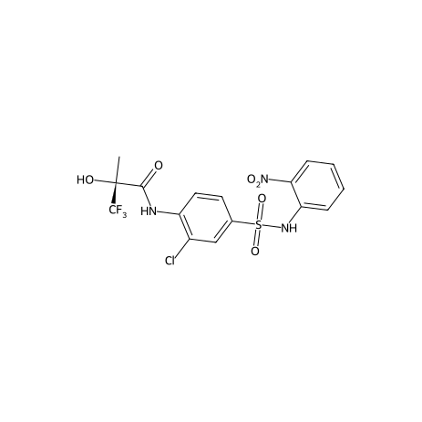 C[C@@](O)(C(=O)Nc1ccc(S(=O)(=O)Nc2ccccc2[N+](=O)[O-])cc1Cl)C(F)(F)F